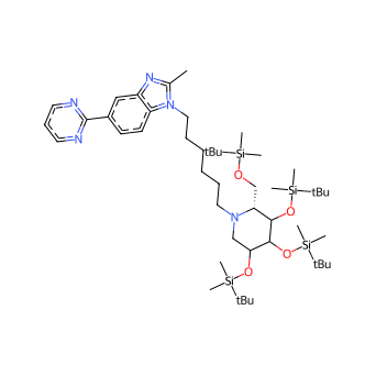 Cc1nc2cc(-c3ncccn3)ccc2n1CCCCCCN1CC(O[Si](C)(C)C(C)(C)C)C(O[Si](C)(C)C(C)(C)C)C(O[Si](C)(C)C(C)(C)C)[C@H]1CO[Si](C)(C)C(C)(C)C